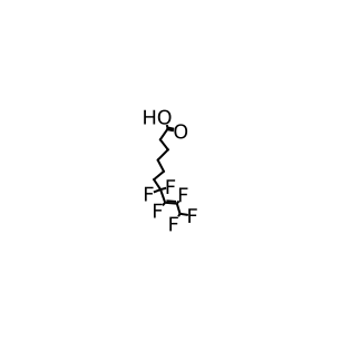 O=C(O)CCCCCC(F)(F)C(F)=C(F)C(F)F